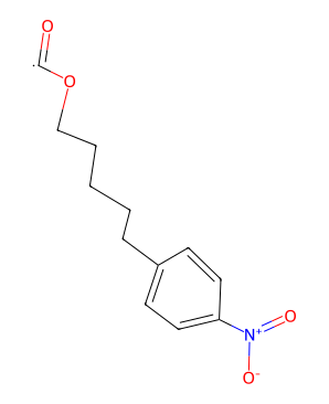 O=[C]OCCCCCc1ccc([N+](=O)[O-])cc1